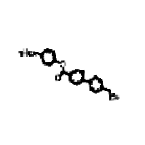 CCCCCCc1ccc(OC(=O)c2ccc(-c3ccc(CC(C)CC)cc3)cc2)cc1